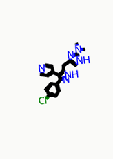 CN(C)c1nc(Cc2[nH]nc(-c3ccc(Cl)cc3)c2-c2ccncc2)c[nH]1